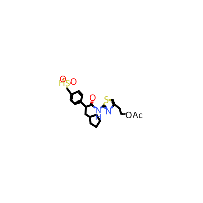 CC(=O)OCCc1csc(NC(=O)C(CC2CCCC2)c2ccc(C[SH](=O)=O)cc2)n1